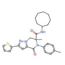 Cc1ccc(N2C(=O)c3cc(-c4cccs4)nn3CC2(C)C(=O)NC2CCCCCCC2)cc1